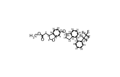 COC(=O)CC1COc2cc(O[C@@H]3CCc4c(-c5ccccc5C(F)(F)C(F)(F)F)cccc43)ccc21